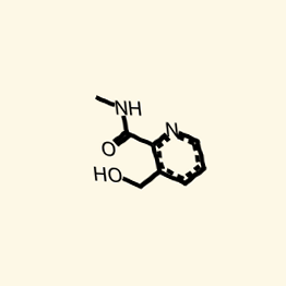 CNC(=O)c1ncccc1CO